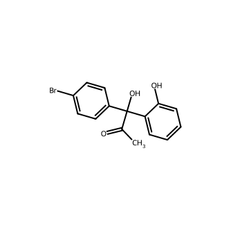 CC(=O)C(O)(c1ccc(Br)cc1)c1ccccc1O